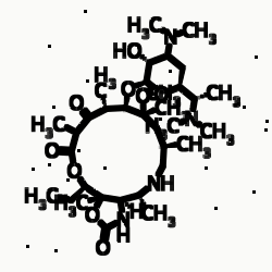 CC[C@H]1OC(=O)C(C)C(=O)[C@H](C)[C@@H](O[C@@H]2O[C@H]([C@H](C)N(C)C)CC(N(C)C)[C@H]2O)[C@](C)(OC)C[C@@H](C)CN[C@H](C)[C@H]2NC(=O)O[C@@]21C